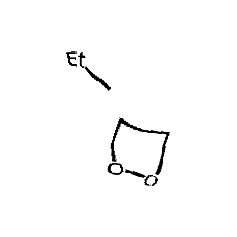 C1COO1.CCC